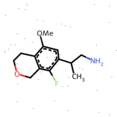 COc1cc(C(C)CN)c(F)c2c1CCOC2